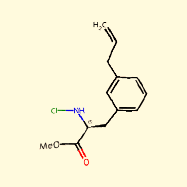 C=CCc1cccc(C[C@H](NCl)C(=O)OC)c1